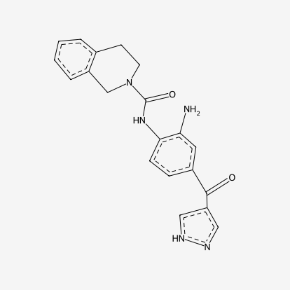 Nc1cc(C(=O)c2cn[nH]c2)ccc1NC(=O)N1CCc2ccccc2C1